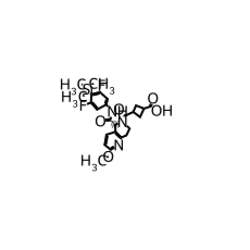 COc1ccc2c(n1)CCN(C(=O)C1CC(C(=O)O)C1)[C@H]2C(=O)Nc1cc(F)c([Si](C)(C)C)c(F)c1